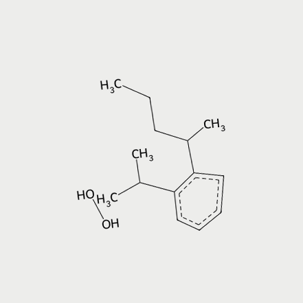 CCCC(C)c1ccccc1C(C)C.OO